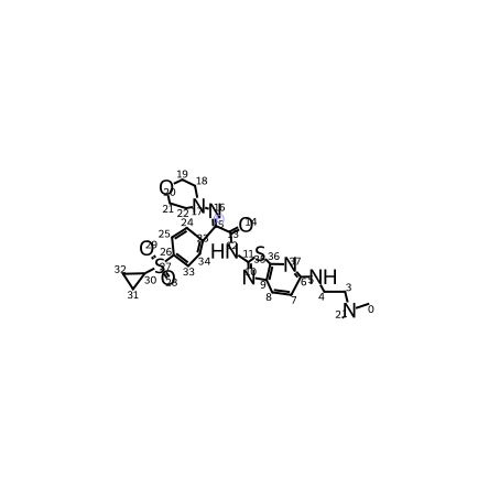 CN(C)CCNc1ccc2nc(NC(=O)/C(=N/N3CCOCC3)c3ccc(S(=O)(=O)C4CC4)cc3)sc2n1